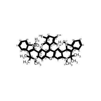 CN1c2cc3c(cc2-c2c(c4ccccc4n2C)C1(C)C)C(c1c(F)c(F)cc(F)c1S(=O)(=O)O)=c1cc2c(cc1O3)=[N+](C)C(C)(C)c1c-2n(C)c2ccccc12